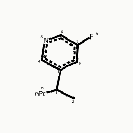 CCCC(C)c1cncc(F)c1